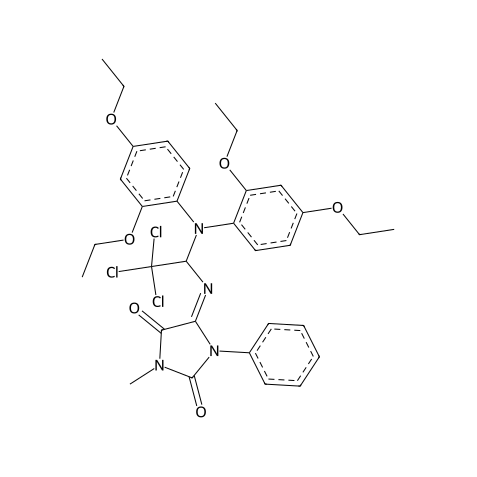 CCOc1ccc(N(c2ccc(OCC)cc2OCC)C(N=C2C(=O)N(C)C(=O)N2c2ccccc2)C(Cl)(Cl)Cl)c(OCC)c1